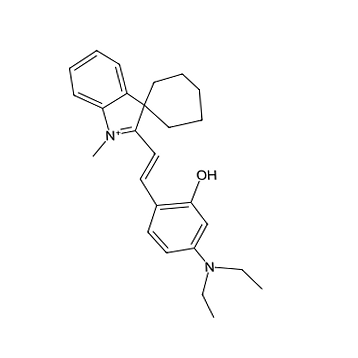 CCN(CC)c1ccc(/C=C/C2=[N+](C)c3ccccc3C23CCCCC3)c(O)c1